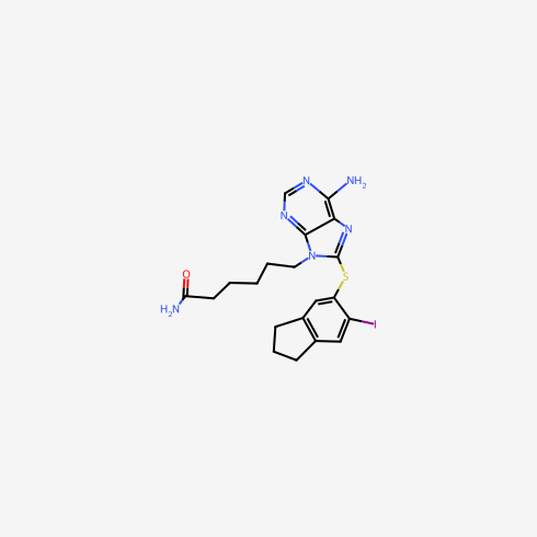 NC(=O)CCCCCn1c(Sc2cc3c(cc2I)CCC3)nc2c(N)ncnc21